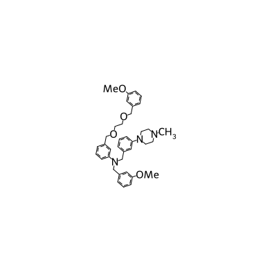 COc1cccc(COCCOCc2cccc(N(Cc3cccc(OC)c3)Cc3cccc(N4CCN(C)CC4)c3)c2)c1